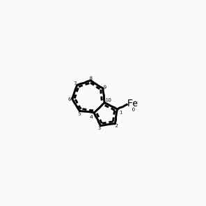 [Fe][c]1ccc2cccccc1-2